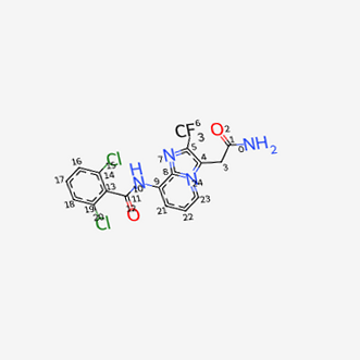 NC(=O)Cc1c(C(F)(F)F)nc2c(NC(=O)c3c(Cl)cccc3Cl)cccn12